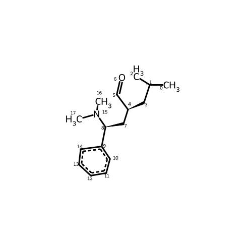 C[C](C)C[C@H](C=O)C[C@@H](c1ccccc1)N(C)C